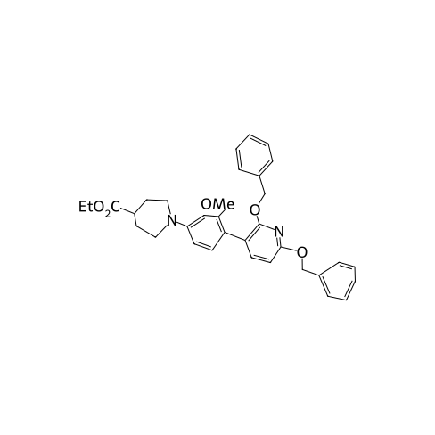 CCOC(=O)C1CCN(c2ccc(-c3ccc(OCc4ccccc4)nc3OCc3ccccc3)c(OC)c2)CC1